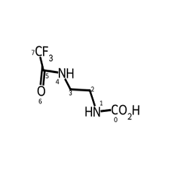 O=C(O)NCCNC(=O)C(F)(F)F